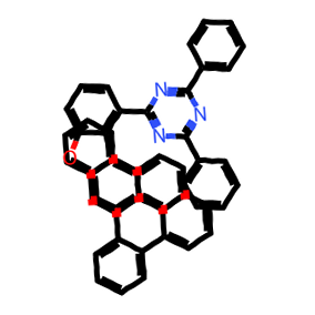 C1=CCC(c2ccc3oc4cccc(-c5nc(-c6ccccc6)nc(-c6ccccc6)n5)c4c3c2)C(c2ccccc2-c2cc3ccccc3c3ccccc23)=C1